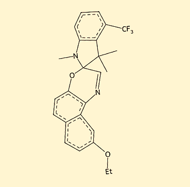 CCOc1ccc2ccc3c(c2c1)N=CC1(O3)N(C)c2cccc(C(F)(F)F)c2C1(C)C